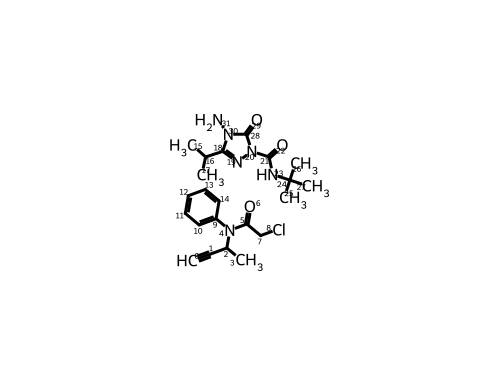 C#CC(C)N(C(=O)CCl)c1ccccc1.CC(C)c1nn(C(=O)NC(C)(C)C)c(=O)n1N